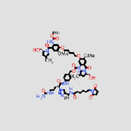 C=C1C[C@H](CO)N(C(=O)c2cc(OC)c(OCCCCCOc3cc(NC(=O)OC(C)(C)C)c(C(=O)N4CC(=C)C[C@@H]4CO)cc3OC)cc2NC(=O)OCc2ccc(NC(=O)[C@H](CCCNC(N)=O)n3cc([C@@H](NC(=O)CCCCCN4C(=O)C=CC4=O)C(C)C)nn3)cc2)C1